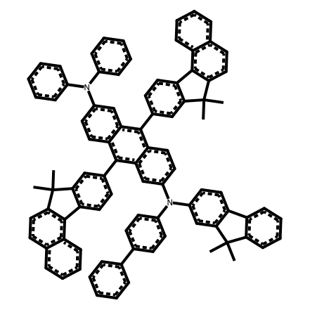 CC1(C)c2ccccc2-c2ccc(N(c3ccc(-c4ccccc4)cc3)c3ccc4c(-c5ccc6c(c5)C(C)(C)c5ccc7ccccc7c5-6)c5cc(N(c6ccccc6)c6ccccc6)ccc5c(-c5ccc6c(c5)C(C)(C)c5ccc7ccccc7c5-6)c4c3)cc21